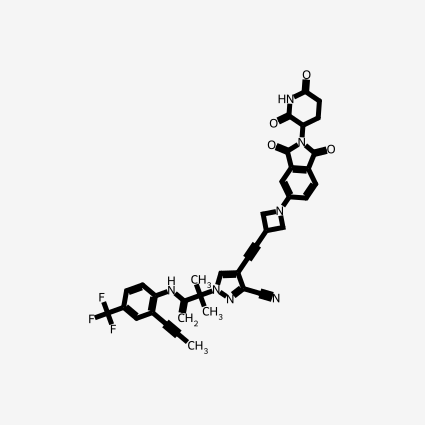 C=C(Nc1ccc(C(F)(F)F)cc1C#CC)C(C)(C)n1cc(C#CC2CN(c3ccc4c(c3)C(=O)N(C3CCC(=O)NC3=O)C4=O)C2)c(C#N)n1